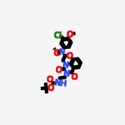 COc1ccc(N(OC)C(=O)Cn2c(=O)n(CCNC(=O)OC(C)(C)C)c(=O)c3ccccc32)cc1Cl